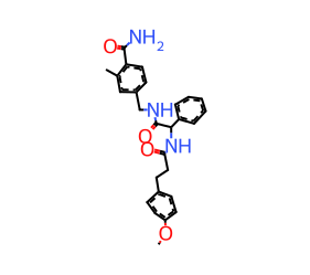 COc1ccc(CCC(=O)NC(C(=O)NCc2ccc(C(N)=O)c(C)c2)c2ccccc2)cc1